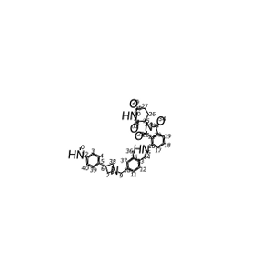 CNc1ccc(C2CN(Cc3ccc(CNc4cccc5c4C(=O)N(C4CCC(=O)NC4=O)C5=O)c(C)c3)C2)cc1